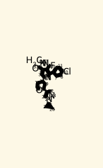 Cn1ncc2c(-c3ccc(Cl)cc3F)nc([C@H]3CCO[C@H](c4cnn(C5CC5)c4)C3)cc2c1=O